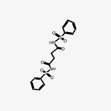 O=C(CCC(=O)NS(=O)(=O)c1ccccc1)NS(=O)(=O)c1ccccc1